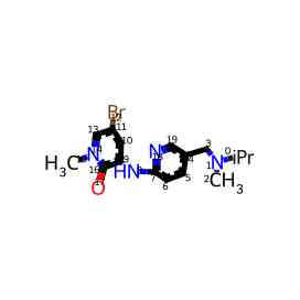 CC(C)N(C)Cc1ccc(Nc2cc(Br)cn(C)c2=O)nc1